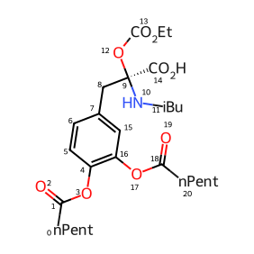 CCCCCC(=O)Oc1ccc(C[C@](NC(C)CC)(OC(=O)OCC)C(=O)O)cc1OC(=O)CCCCC